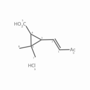 CC(=O)C=CC1C(C(=O)O)C1(C)C.Cl